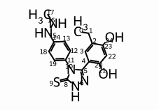 CCc1cc(-c2n[nH]c(=S)n2-c2ccc(NNC)cc2)c(O)cc1O